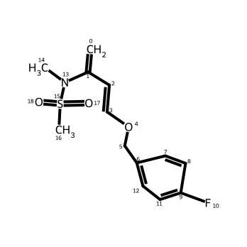 C=C(/C=C/OCc1ccc(F)cc1)N(C)S(C)(=O)=O